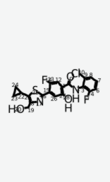 O=C(Nc1c(F)cccc1Cl)c1cc(F)c(-c2nc(CO)c(C3CC3)s2)cc1O